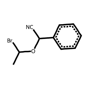 CC(Br)OC(C#N)c1ccccc1